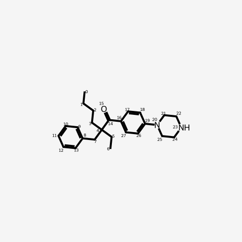 CCCCC(CC)(Cc1ccccc1)C(=O)c1ccc(N2CCNCC2)cc1